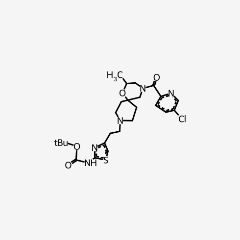 CC1CN(C(=O)c2ccc(Cl)cn2)CC2(CCN(CCc3csc(NC(=O)OC(C)(C)C)n3)CC2)O1